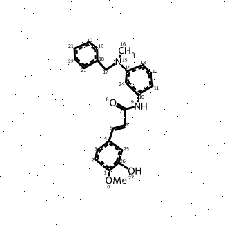 COc1ccc(C=CC(=O)Nc2cccc(N(C)Cc3ccccc3)c2)cc1O